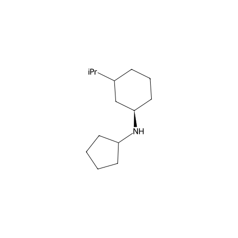 CC(C)C1CCC[C@@H](NC2CCCC2)C1